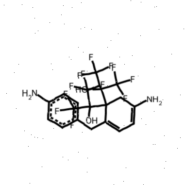 NC1=CC=C(Cc2ccc(N)cc2)C(C(O)(C(F)(F)F)C(F)(F)F)(C(O)(C(F)(F)F)C(F)(F)F)C1